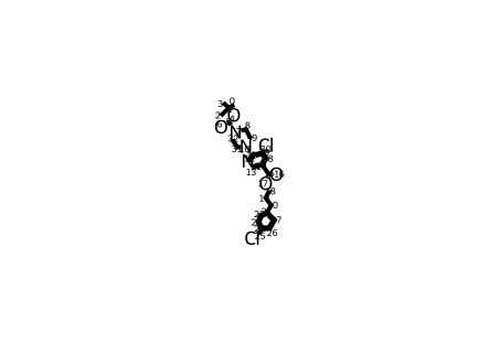 CC(C)(C)OC(=O)N1CCN(c2ncc(C(=O)OCCCc3ccc(Cl)cc3)cc2Cl)CC1